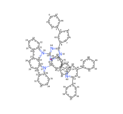 c1ccc(-c2cccc(-c3nc(-c4ccccc4)nc(-n4c5ccccc5c5ccc6c7ccccc7n(-c7cccc(-c8cc(-c9ccccc9)cc(-c9ccccc9)n8)c7)c6c54)n3)c2)cc1